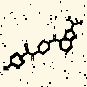 CCc1ccc(C(=O)NC2CCC(Nc3cccc4nc(C(F)F)cn34)CC2)cn1